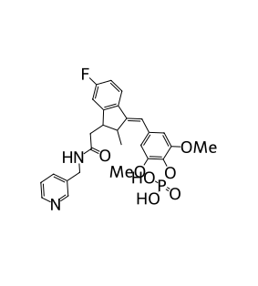 COc1cc(C=C2c3ccc(F)cc3C(CC(=O)NCc3cccnc3)C2C)cc(OC)c1OP(=O)(O)O